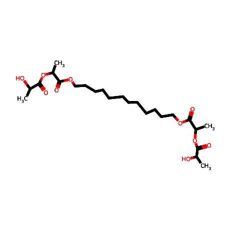 CC(O)C(=O)OC(C)C(=O)OCCCCCCCCCCCCOC(=O)C(C)OC(=O)C(C)O